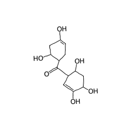 O=C(C1C=C(O)C(O)CC1O)C1CC=C(O)CC1O